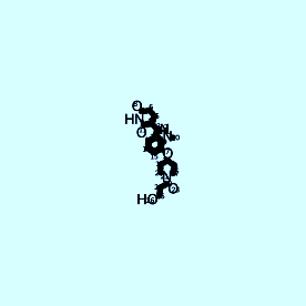 Cn1nc(C2CCC(=O)NC2=O)c2cccc(OC3CCN(C(=O)CCO)CC3)c21